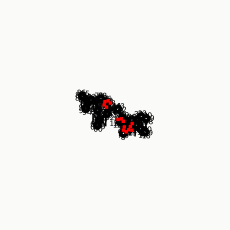 c1ccc(-n2c3ccccc3c3cc(-c4nc5ccccc5nc4-n4c5c6ccccc6ccc5c5cc6c7cc(-c8cccc(-n9c%10ccccc%10c%10cc(-c%11nc%12ccccc%12nc%11-c%11ccc(-n%12c%13c%14ccccc%14ccc%13c%13cc%14c%15ccccc%15n%15c%16ccccc%16c(c%13%12)c%14%15)cc%11)ccc%109)c8)ccc7n7c8ccccc8c(c54)c67)ccc32)cc1